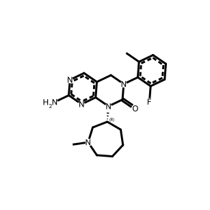 Cc1cccc(F)c1N1Cc2cnc(N)nc2N([C@@H]2CCCCN(C)C2)C1=O